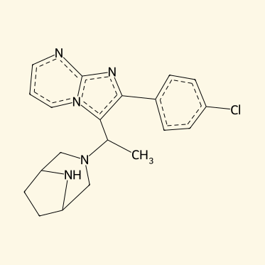 CC(c1c(-c2ccc(Cl)cc2)nc2ncccn12)N1CC2CCC(C1)N2